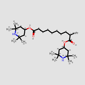 CCCC(CCCCCCCC(=O)OC1CC(C)(C)NC(C)(C)C1)C(=O)OC1CC(C)(C)NC(C)(C)C1